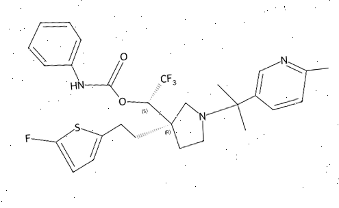 Cc1ccc(C(C)(C)N2CC[C@@](CCc3ccc(F)s3)([C@H](OC(=O)Nc3ccccc3)C(F)(F)F)C2)cn1